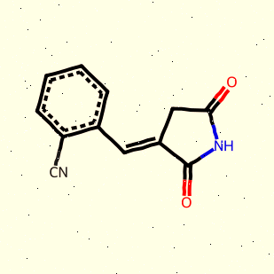 N#Cc1ccccc1C=C1CC(=O)NC1=O